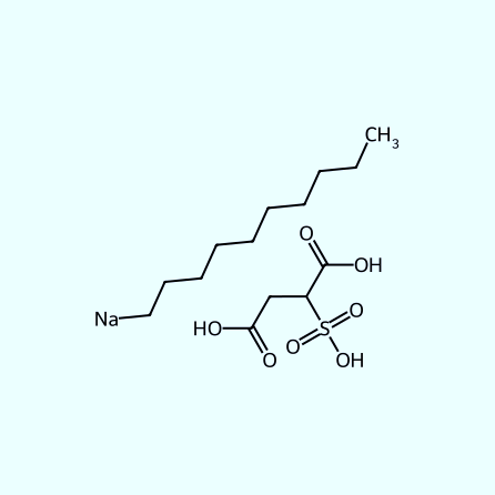 CCCCCCCCC[CH2][Na].O=C(O)CC(C(=O)O)S(=O)(=O)O